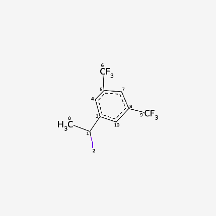 CC(I)c1cc(C(F)(F)F)cc(C(F)(F)F)c1